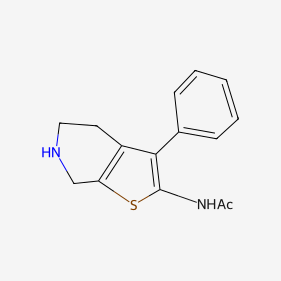 CC(=O)Nc1sc2c(c1-c1ccccc1)CCNC2